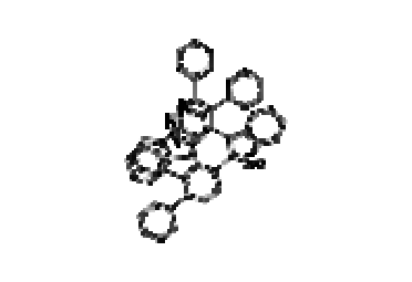 c1ccc(-c2ccc(-c3[se]c4ccccc4c3-c3c4c(cc(-c5ccccc5)c3-c3ccccc3)-c3ccccc3C4)c(-c3ccnnn3)c2-c2ccccc2)cc1